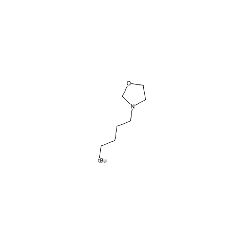 CC(C)(C)CCCCN1CCOC1